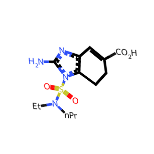 CCCN(CC)S(=O)(=O)n1c(N)nc2c1CCC(C(=O)O)=C2